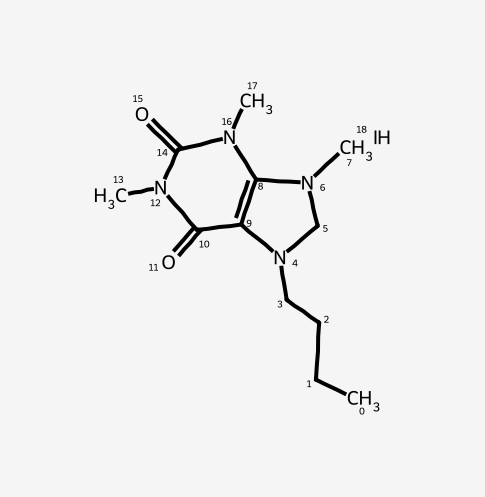 CCCCN1CN(C)c2c1c(=O)n(C)c(=O)n2C.I